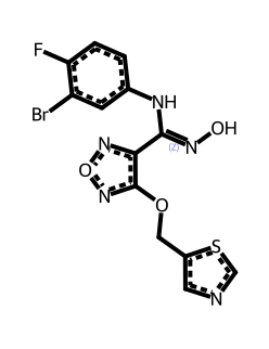 O/N=C(\Nc1ccc(F)c(Br)c1)c1nonc1OCc1cncs1